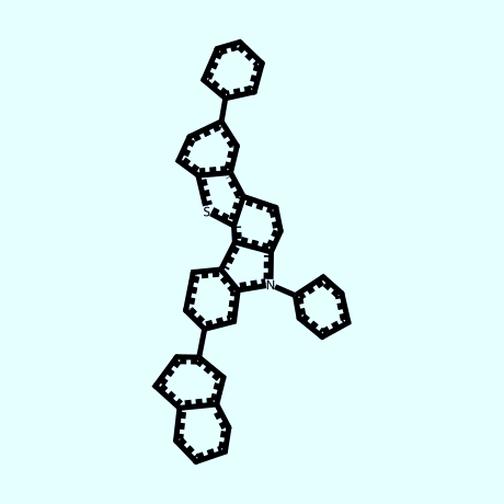 c1ccc(-c2ccc3sc4c(ccc5c4c4ccc(-c6ccc7ccccc7c6)cc4n5-c4ccccc4)c3c2)cc1